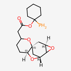 O=C(CC1CC[C@@H]2O[C@@H]3C[C@]2(C[C@H]2OC23)O1)OC1(P)CCCCC1